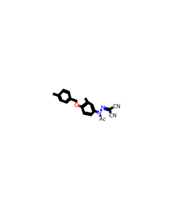 CC(=O)N(N=C(C#N)C#N)c1ccc(OCc2ccc(C)cc2)c(C)c1